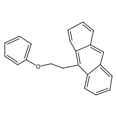 c1ccc(OCCc2c3ccccc3cc3ccccc23)cc1